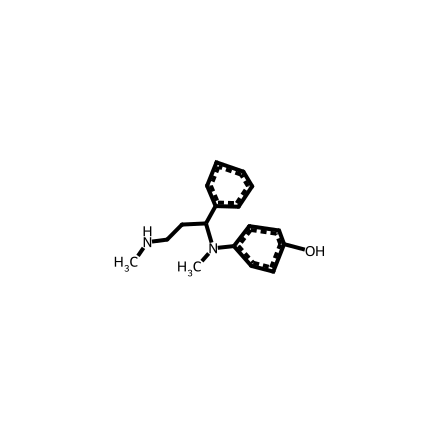 CNCCC(c1ccccc1)N(C)c1ccc(O)cc1